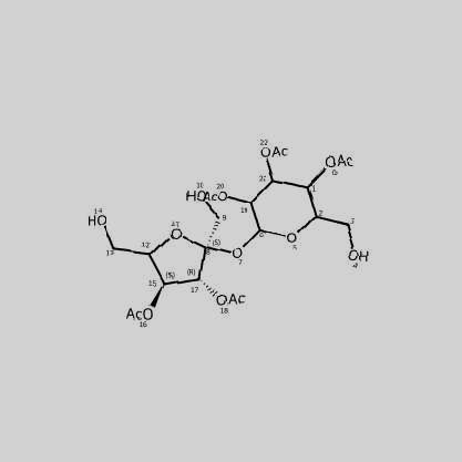 CC(=O)OC1C(CO)OC(O[C@]2(CO)OC(CO)[C@H](OC(C)=O)[C@H]2OC(C)=O)C(OC(C)=O)C1OC(C)=O